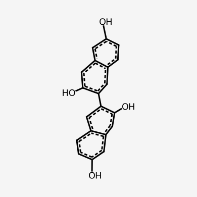 Oc1ccc2cc(-c3cc4ccc(O)cc4cc3O)c(O)cc2c1